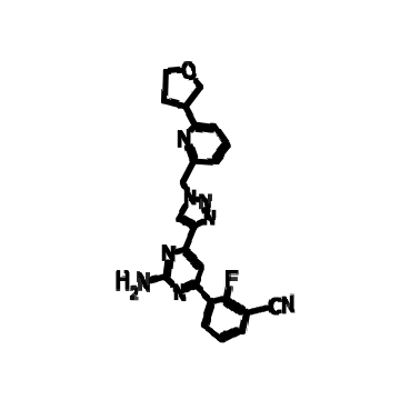 N#Cc1cccc(-c2cc(-c3cn(Cc4cccc([C]5CCOC5)n4)nn3)nc(N)n2)c1F